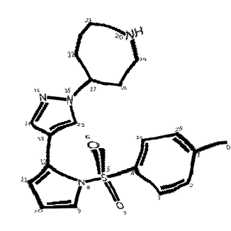 Cc1ccc(S(=O)(=O)n2cccc2-c2cnn(C3CCNCC3)c2)cc1